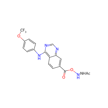 CC(=O)NNOC(=O)c1ccc2c(Nc3ccc(OC(F)(F)F)cc3)ncnc2c1